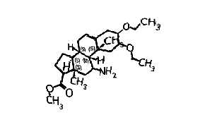 CCOC1CC2CC[C@@H]3[C@@H](C(N)C[C@]4(C)C(C(=O)OC)CC[C@@H]34)[C@@]2(C)CC1OCC